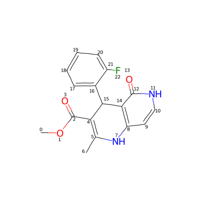 COC(=O)C1=C(C)Nc2cc[nH]c(=O)c2C1c1ccccc1F